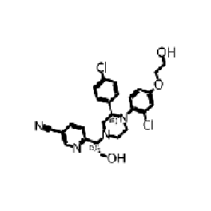 N#Cc1ccc([C@@H](CO)N2CCN(c3ccc(OCCO)cc3Cl)[C@H](c3ccc(Cl)cc3)C2)nc1